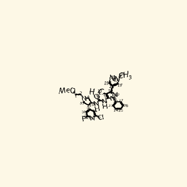 COCCN1C[C@@H](NC(=O)Nc2c(C)c(-c3cnn(C)c3)nn2-c2ccccc2)[C@H](c2cc(F)nc(Cl)c2)C1